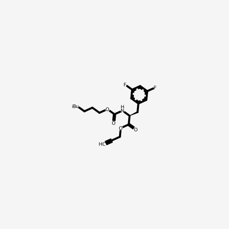 C#CCOC(=O)[C@H](Cc1cc(F)cc(F)c1)NC(=O)OCCCC(C)CC